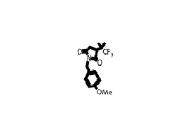 COc1ccc(CN2C(=O)C=C(C(C)(C)C(F)(F)F)C2=O)cc1